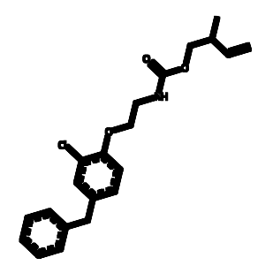 C=CC(C)COC(=O)NCCOc1ccc(Cc2ccccc2)cc1Cl